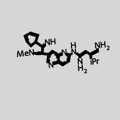 CN/C=C(\C(=N)C1C=CC=CC1)c1cnc2ccc(N/C(N)=C/C(=C\N)C(C)C)nc2c1